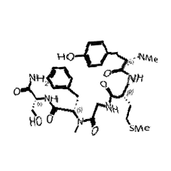 CN[C@@H](Cc1ccc(O)cc1)C(=O)N[C@H](CCSC)C(=O)NCC(=O)N(C)[C@@H](Cc1ccccc1)C(=O)N[C@H](CO)C(N)=O